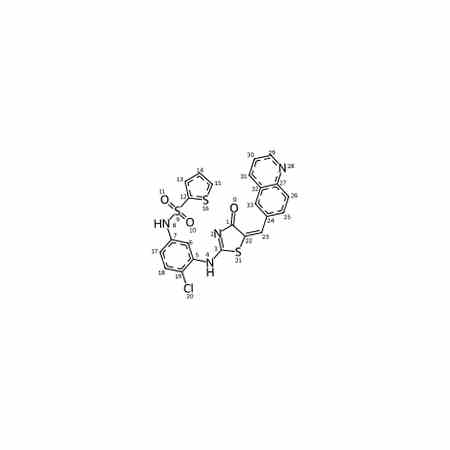 O=C1N=C(Nc2cc(NS(=O)(=O)c3cccs3)ccc2Cl)SC1=Cc1ccc2ncccc2c1